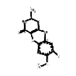 CC1CC2=C(Sc3cc(OC(F)(F)F)c(Cl)cc3N2)C(=O)N1